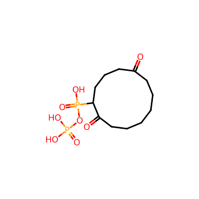 O=C1CCCCCCC(=O)C(P(=O)(O)OP(=O)(O)O)CCC1